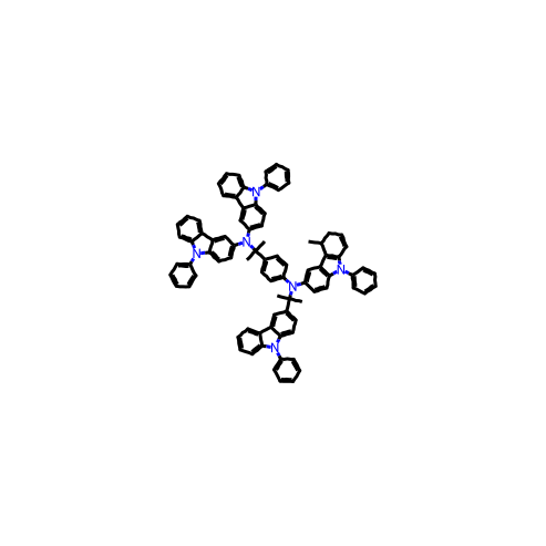 CC1CC=Cc2c1c1cc(N(c3ccc(C(C)(C)N(c4ccc5c(c4)c4ccccc4n5-c4ccccc4)c4ccc5c(c4)c4ccccc4n5-c4ccccc4)cc3)C(C)(C)c3ccc4c(c3)c3ccccc3n4-c3ccccc3)ccc1n2-c1ccccc1